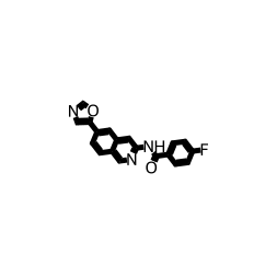 O=C(Nc1cc2cc(-c3cnco3)ccc2cn1)c1ccc(F)cc1